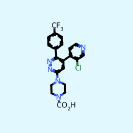 O=C(O)N1CCN(c2cc(-c3ccncc3Cl)c(-c3ccc(C(F)(F)F)cc3)nn2)CC1